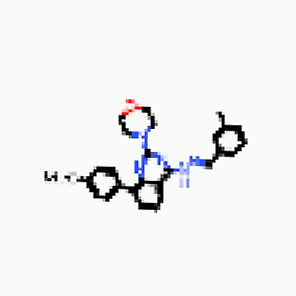 COc1ccc(-c2cccc3c(NN=Cc4cccc(C)c4)nc(N4CCOCC4)nc23)cc1